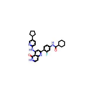 O=C(Nc1ccc(-c2cc(Nc3ccc(C4CCCC4)cn3)c3c(=O)[nH]ccc3n2)c(F)c1)C1CCCCC1